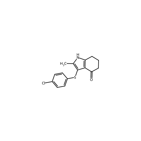 Cc1[nH]c2c(c1Sc1ccc(Cl)cc1)C(=O)CCC2